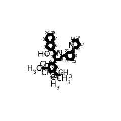 CC(C)(C)c1cc(-c2cc(-c3cccc(-c4ccccn4)c3)nc(-c3cc4ccccc4cc3O)c2)cc(C(C)(C)C)c1